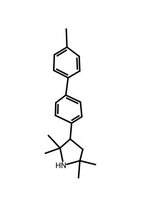 Cc1ccc(-c2ccc(C3CC(C)(C)NC3(C)C)cc2)cc1